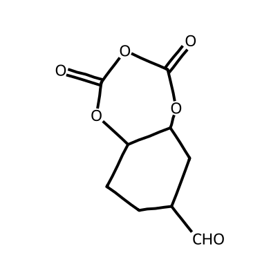 O=CC1CCC2OC(=O)OC(=O)OC2C1